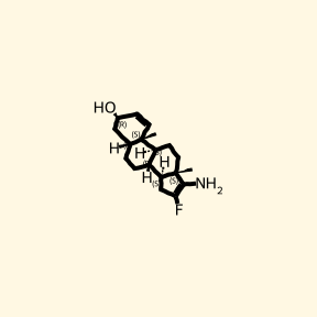 C[C@]12C=C[C@H](O)C[C@H]1CC[C@@H]1[C@@H]2CC[C@]2(C)C(N)=C(F)C[C@@H]12